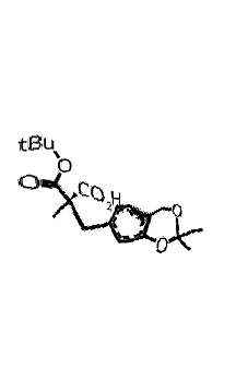 CC(C)(C)OC(=O)[C@@](C)(Cc1ccc2c(c1)OC(C)(C)O2)C(=O)O